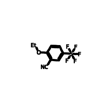 CCOc1ccc(S(F)(F)(F)(F)F)cc1C#N